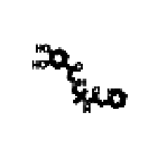 CC(C)(CNCC(=O)c1ccc(O)c(O)c1)NC(=O)Cc1ccccn1